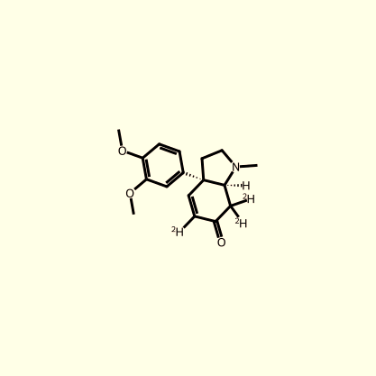 [2H]C1=C[C@@]2(c3ccc(OC)c(OC)c3)CCN(C)[C@H]2C([2H])([2H])C1=O